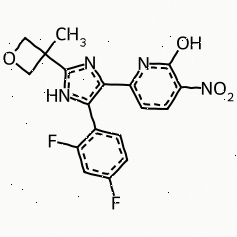 CC1(c2nc(-c3ccc([N+](=O)[O-])c(O)n3)c(-c3ccc(F)cc3F)[nH]2)COC1